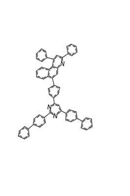 c1ccc(-c2ccc(-c3cc(-c4ccc(-c5cc6nc(-c7ccccc7)cc(-c7ccccc7)c6c6ccccc56)cc4)nc(-c4ccc(-c5ccccc5)cc4)n3)cc2)cc1